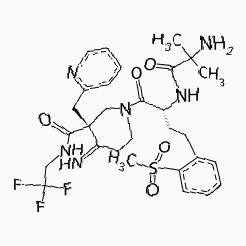 CC(C)(N)C(=O)N[C@H](CCc1ccccc1S(C)(=O)=O)C(=O)N1CCC(=N)[C@](Cc2ccccn2)(C(=O)NCC(F)(F)F)C1